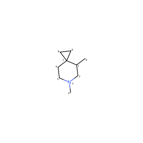 CC1CN(C)CCC12CC2